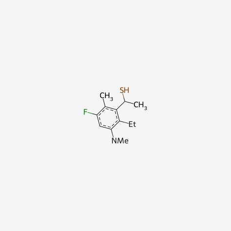 CCc1c(NC)cc(F)c(C)c1C(C)S